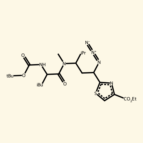 CCOC(=O)c1csc(C(CC(C(C)C)N(C)C(=O)C(NC(=O)OC(C)(C)C)C(C)CC)N=[N+]=[N-])n1